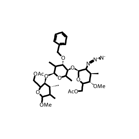 COC1OC(COC(C)=O)[C@@H](O[C@@H]2OC(C)[C@H](O[C@@H]3OC(COC(C)=O)[C@@H](OC)[C@H](C)C3N=[N+]=[N-])[C@@H](OCc3ccccc3)C2C)[C@H](C)C1C